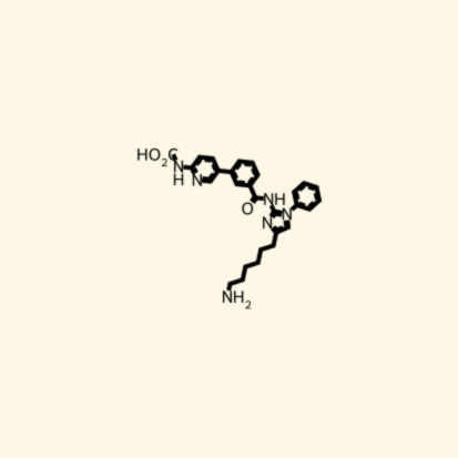 NCCCCCCc1cn(-c2ccccc2)c(NC(=O)c2cccc(-c3ccc(NC(=O)O)nc3)c2)n1